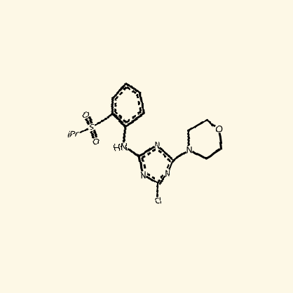 CC(C)S(=O)(=O)c1ccccc1Nc1nc(Cl)nc(N2CCOCC2)n1